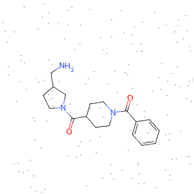 NCC1CCN(C(=O)C2CCN(C(=O)c3ccccc3)CC2)C1